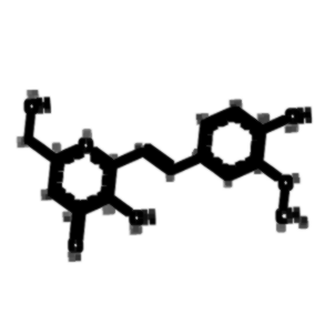 COc1cc(C=Cc2oc(CO)cc(=O)c2O)ccc1O